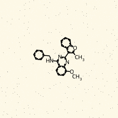 COc1cccc2c(NCc3ccccc3)nc(-c3c(C)oc4ccccc34)nc12